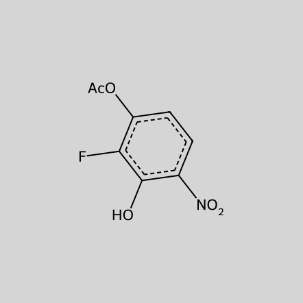 CC(=O)Oc1ccc([N+](=O)[O-])c(O)c1F